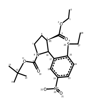 CCOC(=O)[C@@H]1CCN(C(=O)OC(C)(C)C)C1c1cc([N+](=O)[O-])ccc1SCC